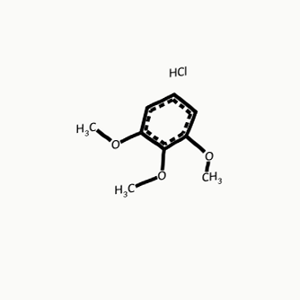 COc1cccc(OC)c1OC.Cl